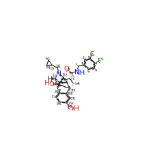 O=C(NCc1ccc(F)c(F)c1)[C@H]1C[C@@]2(O)[C@@H]3N(CC4CC4)C4C5C43Cc3ccc(O)cc3[C@]52C1